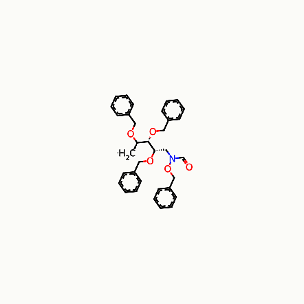 [CH2][C@@H](OCc1ccccc1)[C@H](OCc1ccccc1)[C@H](CN(C=O)OCc1ccccc1)OCc1ccccc1